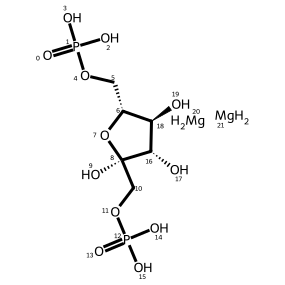 O=P(O)(O)OC[C@H]1O[C@](O)(COP(=O)(O)O)[C@@H](O)[C@@H]1O.[MgH2].[MgH2]